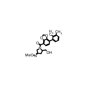 CO/N=C1/CC(CO)N(C(=O)c2ccc(-c3cccc(C)c3C)c3c2OCO3)C1